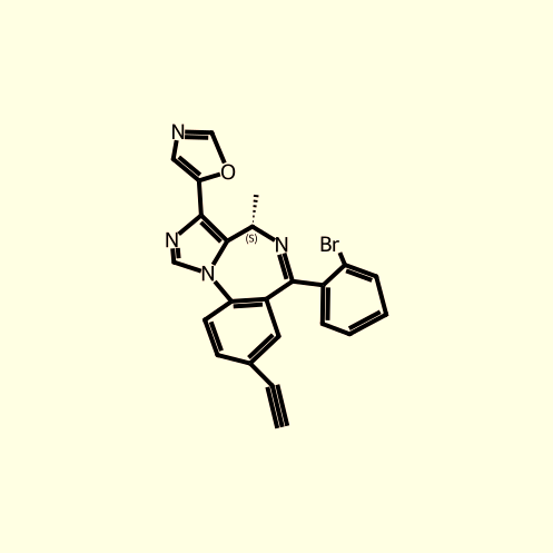 C#Cc1ccc2c(c1)C(c1ccccc1Br)=N[C@@H](C)c1c(-c3cnco3)ncn1-2